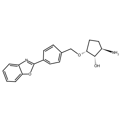 N[C@@H]1CC[C@@H](OCc2ccc(-c3nc4ccccc4o3)cc2)[C@H]1O